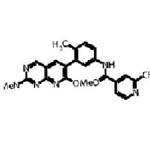 CNc1ncc2cc(-c3cc(NC(=O)c4ccnc(C(F)(F)F)c4)ccc3C)c(OC)nc2n1